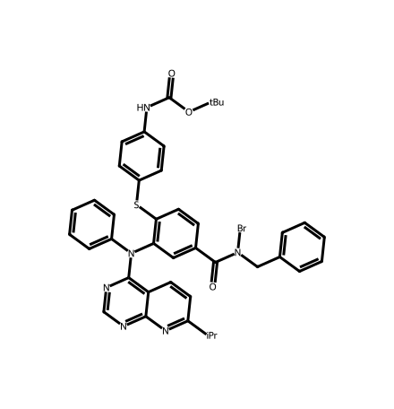 CC(C)c1ccc2c(N(c3ccccc3)c3cc(C(=O)N(Br)Cc4ccccc4)ccc3Sc3ccc(NC(=O)OC(C)(C)C)cc3)ncnc2n1